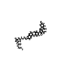 NCC(=O)OC1CN(CCCOc2ccc3c(Oc4ccc(NC(=O)C5(C(=O)Nc6ccc(F)cc6)CC5)cc4F)cccc3c2)CC12CC2